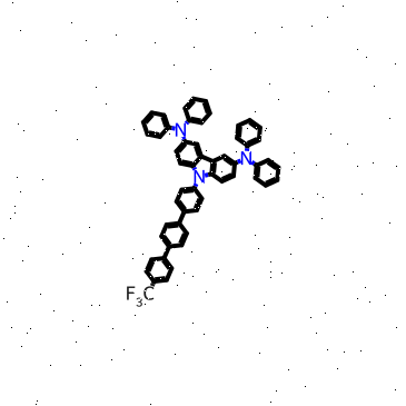 FC(F)(F)c1ccc(-c2ccc(-c3ccc(-n4c5ccc(N(c6ccccc6)c6ccccc6)cc5c5cc(N(c6ccccc6)c6ccccc6)ccc54)cc3)cc2)cc1